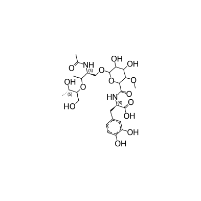 COC1C(C(=O)N[C@H](Cc2ccc(O)c(O)c2)C(=O)O)OC(OC[C@H](NC(C)=O)C(C)OC(CO)[C@H](C)O)C(O)C1O